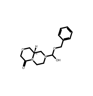 O=C1COC[C@@H]2CN(C(O)OCc3ccccc3)CCN12